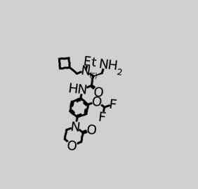 CCN(CC1CCC1)[C@@H](CN)C(=O)Nc1ccc(N2CCOCC2=O)cc1OC(F)F